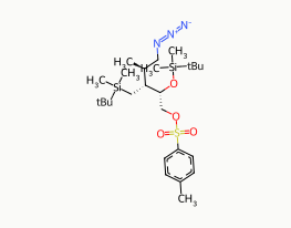 Cc1ccc(S(=O)(=O)OC[C@@H](O[Si](C)(C)C(C)(C)C)[C@H](C[Si](C)(C)C(C)(C)C)[C@@H](C)CN=[N+]=[N-])cc1